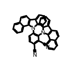 N#Cc1ccc(-n2c3ccccc3c3ccc4ccccc4c32)c(-n2c3ccccc3c3ccc4ccccc4c32)c1C#N